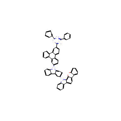 c1ccc(-c2nc(-c3ccccc3)nc(-c3ccc4c5ccc(-n6c7ccccc7c7cc(-n8c9ccccc9c9ccc%10c%11ccccc%11oc%10c98)ccc76)cc5c5ccccc5c4c3)n2)cc1